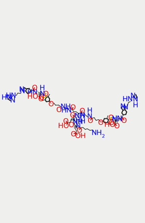 Cc1cc(OCCCC(=O)NCCNC(=O)CCC(NC(=O)[C@H](CCC(=O)O)NC(=O)[C@@H](CCC(=O)O)NC(=O)CCCCCN)C(=O)NCCNC(=O)CCCOc2cc(C)c(S(=O)(=O)N[C@H](CNC(=O)c3ccc4c(cnn4CCCNc4ncc[nH]4)c3)C(=O)O)c(C)c2)cc(C)c1S(=O)(=O)N[C@@H](CNC(=O)c1ccc2c(cnn2CCCNc2ncc[nH]2)c1)C(=O)O